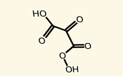 O=C(O)C(=O)C(=O)OO